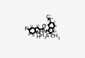 [C-]#[N+]c1ccc2c(c1)[C@H](NC(=O)c1cc3cc(F)ccc3[nH]1)C(C)(C)C2